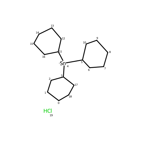 C1CC[CH]([Sn]([CH]2CCCCC2)[CH]2CCCCC2)CC1.Cl